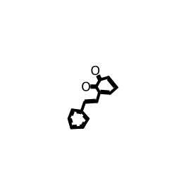 O=C1C=CC=C(C=Cc2ccccc2)C1=O